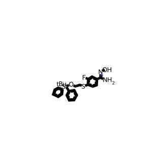 CC(C)(C)[Si](OCCSc1ccc(/C(N)=N/O)cc1F)(c1ccccc1)c1ccccc1